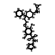 O=S(=O)(Nc1ncns1)c1cc(F)c(OCCC2(c3ccccc3)CCC(NC3CC3)CC2)cc1F